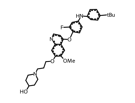 COc1cc2c(Oc3ccc(Nc4ccc(C(C)(C)C)cc4)cc3F)ccnc2cc1OCCCN1CCC(O)CC1